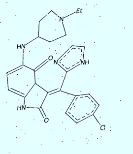 CCN1CCC(NC2=CC=C3NC(=O)C(=C(c4ccc(Cl)cc4)c4ncc[nH]4)C3C2=O)CC1